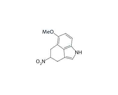 COc1ccc2[nH]cc3c2c1CC([N+](=O)[O-])C3